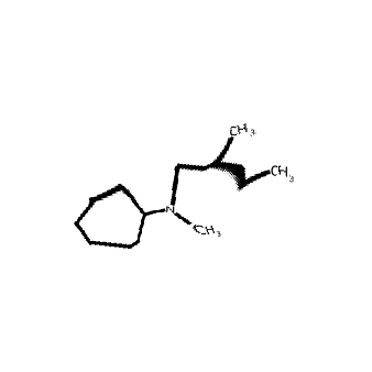 CCC(C)CN(C)C1CCCCC1